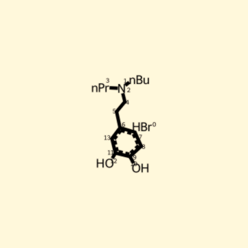 Br.CCCCN(CCC)CCc1ccc(O)c(O)c1